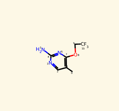 Cc1cnc(N)nc1OCC(F)(F)F